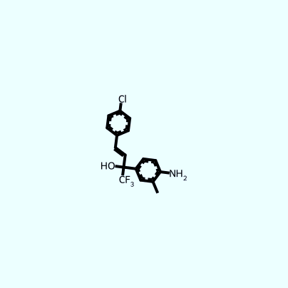 Cc1cc(C(O)(C=Cc2ccc(Cl)cc2)C(F)(F)F)ccc1N